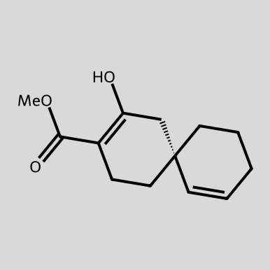 COC(=O)C1=C(O)C[C@]2(C=CCCC2)CC1